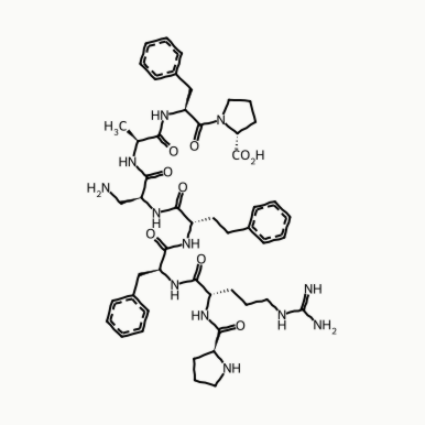 C[C@H](NC(=O)[C@H](CN)NC(=O)[C@H](CCc1ccccc1)NC(=O)[C@H](Cc1ccccc1)NC(=O)[C@H](CCCNC(=N)N)NC(=O)[C@@H]1CCCN1)C(=O)N[C@@H](Cc1ccccc1)C(=O)N1CCC[C@@H]1C(=O)O